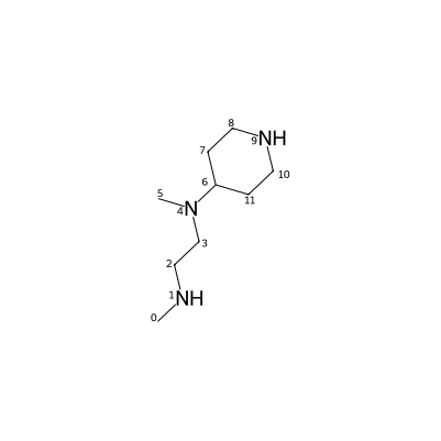 CNCCN(C)C1CCNCC1